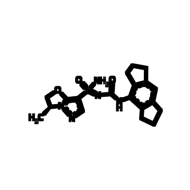 C[C@H]1COc2c(S(N)(=O)=NC(=O)Nc3c4c(cc5c3CCC5)CCC4)cnn21